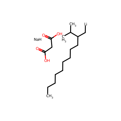 O=C(O)CC(=O)O.[Li][CH2]C(CCCCCCCCC)C(C)C.[NaH]